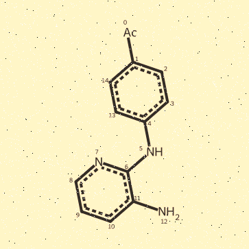 CC(=O)c1ccc(Nc2ncccc2N)cc1